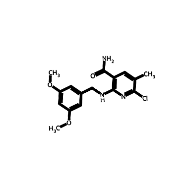 COc1cc(CNc2nc(Cl)c(C)cc2C(N)=O)cc(OC)c1